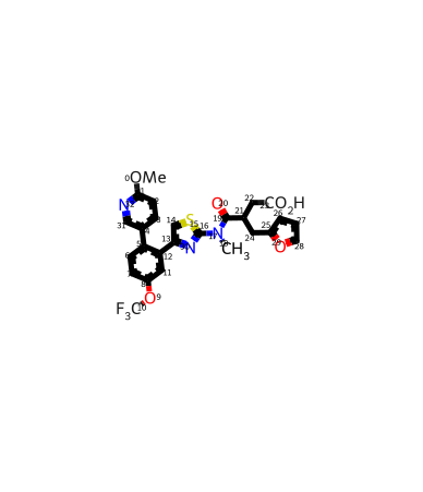 COc1ccc(-c2ccc(OC(F)(F)F)cc2-c2csc(N(C)C(=O)C(CC(=O)O)Cc3ccco3)n2)cn1